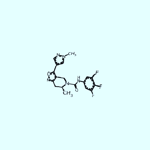 C[C@H]1Cc2noc(-c3cnn(C)c3)c2CN1C(=O)Nc1cc(F)c(F)c(F)c1